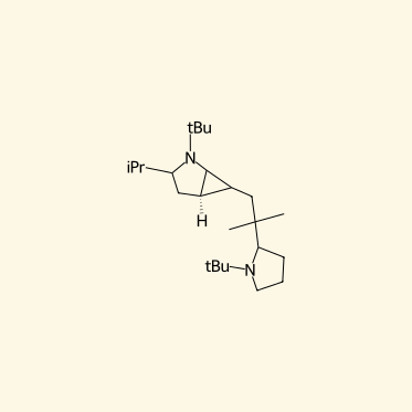 CC(C)C1C[C@@H]2C(CC(C)(C)C3CCCN3C(C)(C)C)C2N1C(C)(C)C